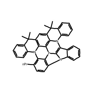 CCCc1ccc2c3c1n1c4c(cc5c6c4p3c3c(c4ccccc4n23)n6-c2ccccc2C5(C)C)C(C)(C)c2ccccc2-1